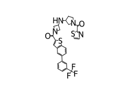 O=C(c1cc2cc(-c3cccc(C(F)(F)F)c3)ccc2s1)N1CC(N[C@H]2CCN(C(=O)c3nccs3)C2)C1